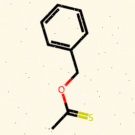 [CH2]C(=S)OCc1ccccc1